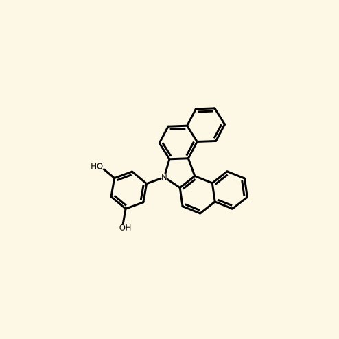 Oc1cc(O)cc(-n2c3ccc4ccccc4c3c3c4ccccc4ccc32)c1